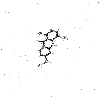 COc1ccc2c(=O)c3c(Cl)ccc(C)c3sc2c1